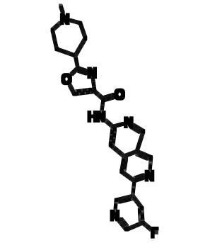 CN1CCC(c2nc(C(=O)Nc3cc4cc(-c5cncc(F)c5)ncc4cn3)co2)CC1